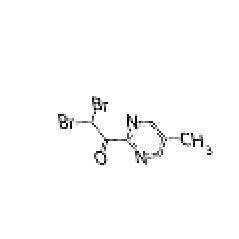 Cc1cnc(C(=O)C(Br)Br)nc1